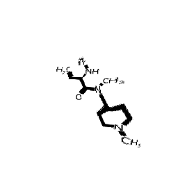 C=C[C@@H](NC(C)C)C(=O)N(C)C1CCN(C)CC1